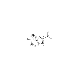 CC(C)n1cc(C(F)(P)P)cn1